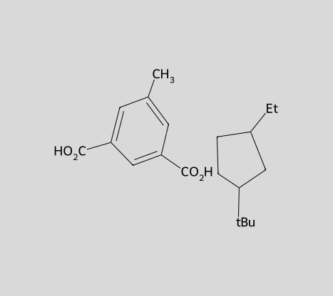 CCC1CCC(C(C)(C)C)C1.Cc1cc(C(=O)O)cc(C(=O)O)c1